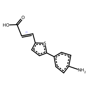 Nc1ccc(-c2ccc(/C=C/C(=O)O)s2)cc1